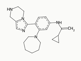 C=C(Nc1ccc(-c2ncc3n2CCNC3)c(N2CCCCCC2)c1)C1CC1